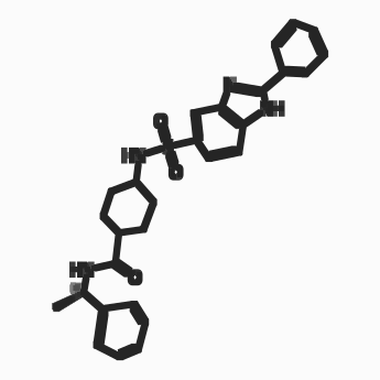 C[C@@H](NC(=O)C1CCC(NS(=O)(=O)c2ccc3[nH]c(-c4ccccc4)nc3c2)CC1)c1ccccc1